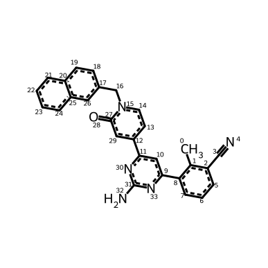 Cc1c(C#N)cccc1-c1cc(-c2ccn(Cc3ccc4ccccc4c3)c(=O)c2)nc(N)n1